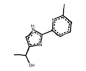 Cc1cccc(-c2nc(C(C)O)c[nH]2)n1